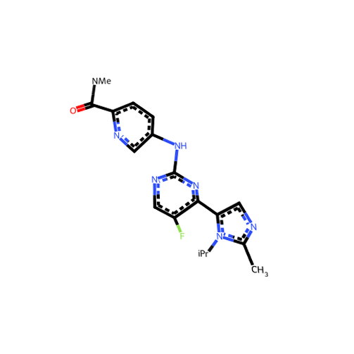 CNC(=O)c1ccc(Nc2ncc(F)c(-c3cnc(C)n3C(C)C)n2)cn1